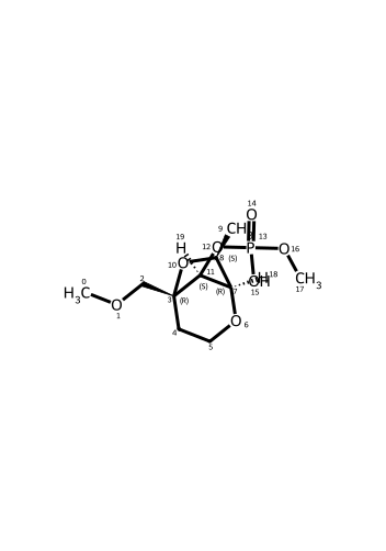 COC[C@@]12CCO[C@H]([C@H](C)O1)[C@@H]2OP(=O)(O)OC